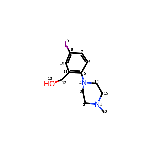 CN1CCN(c2ccc(I)cc2CO)CC1